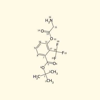 CC(C)(C)OC(=O)c1cccc(OC(=O)CN)c1C(F)(F)F